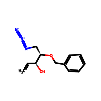 C=C[C@@H](O)[C@H](CN=[N+]=[N-])OCc1ccccc1